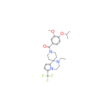 CCN1CCn2c(C(F)(F)F)ccc2C12CCN(C(=O)c1ccc(OC(C)C)c(OC)c1)CC2